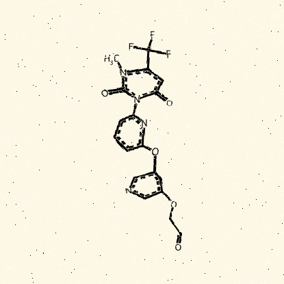 Cn1c(C(F)(F)F)cc(=O)n(-c2cccc(Oc3cncc(OCC=O)c3)n2)c1=O